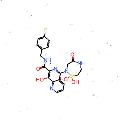 O=C1CN(c2nc(C(=O)NCc3ccc(F)cc3)c(O)c3ncccc23)S(O)(O)CCN1